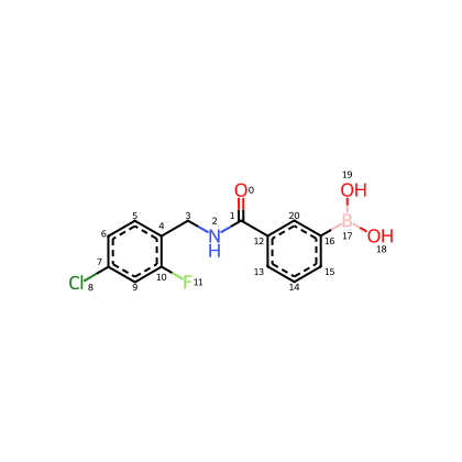 O=C(NCc1ccc(Cl)cc1F)c1cccc(B(O)O)c1